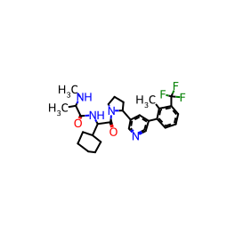 CNC(C)C(=O)NC(C(=O)N1CCCC1c1cncc(-c2cccc(C(F)(F)F)c2C)c1)C1CCCCC1